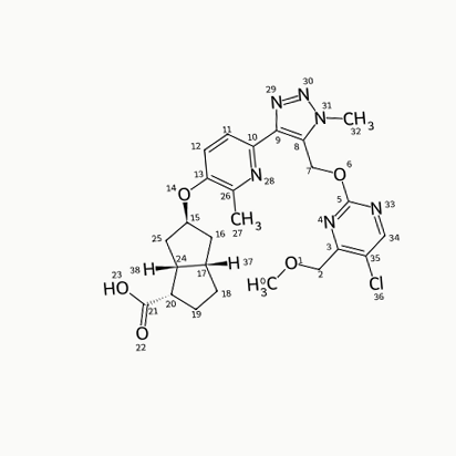 COCc1nc(OCc2c(-c3ccc(O[C@H]4C[C@@H]5CC[C@H](C(=O)O)[C@@H]5C4)c(C)n3)nnn2C)ncc1Cl